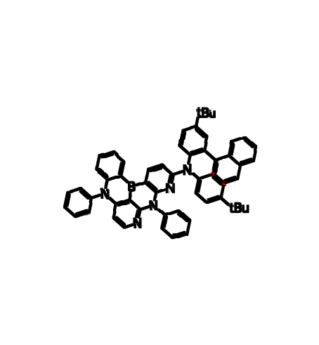 CC(C)(C)c1ccc(N(c2ccc3c(n2)N(c2ccccc2)c2nccc4c2B3c2ccccc2N4c2ccccc2)c2ccc(C(C)(C)C)cc2-c2cccc3ccccc23)cc1